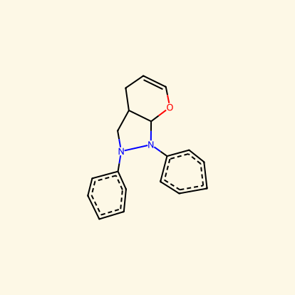 C1=COC2C(C1)CN(c1ccccc1)N2c1ccccc1